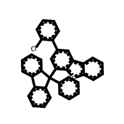 Clc1ccccc1-c1cc(C2(c3ccccc3)c3ccccc3-c3ccccc32)c2sc3ccccc3c2c1